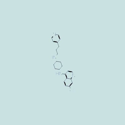 Clc1ccc2c(N[C@H]3CC[C@@H](NCCCc4ccncc4)CC3)ccnc2c1